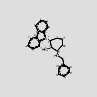 O[C@H]1[C@H](n2c3ccccc3c3ccccc32)CCC[C@H]1OCc1ccccc1